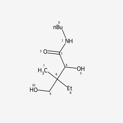 CCCCNC(=O)C(O)C(C)(CC)CO